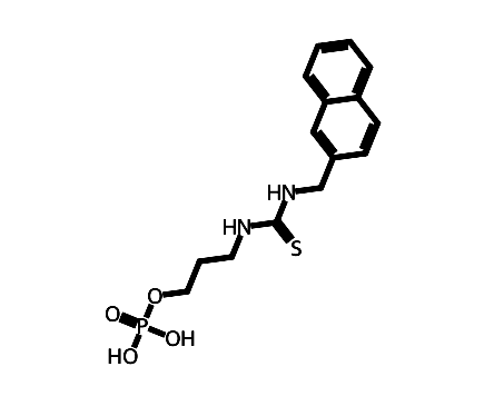 O=P(O)(O)OCCCNC(=S)NCc1ccc2ccccc2c1